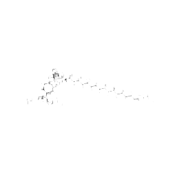 CCCCCCCCCCCCCCCCCCOP(=O)(O)OC1CCC(N(C)C)CC1